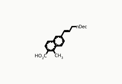 CCCCCCCCCCC/C=C/c1ccc2c(C)c(C(=O)O)ccc2c1